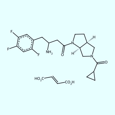 NC(CC(=O)N1CC[C@H]2CN(C(=O)C3CC3)C[C@H]21)Cc1cc(F)c(F)cc1F.O=C(O)/C=C/C(=O)O